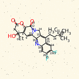 CC[C@@]1(O)CC(=O)Oc2c1cc1n(c2=O)Cc2c-1nc1cc(F)c(F)cc1c2CC[Si](C)(C)C